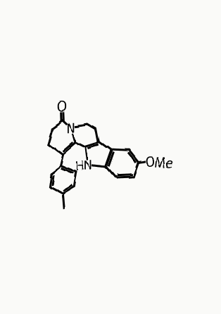 COc1ccc2[nH]c3c(c2c1)CCN1C(=O)CCC(c2ccc(C)cc2)=C31